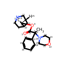 CC(C(=O)O[C@H]1CN2CCC1CC2)(c1ccccc1)N1CCOCC1